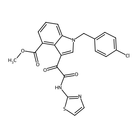 COC(=O)c1cccc2c1c(C(=O)C(=O)Nc1nccs1)cn2Cc1ccc(Cl)cc1